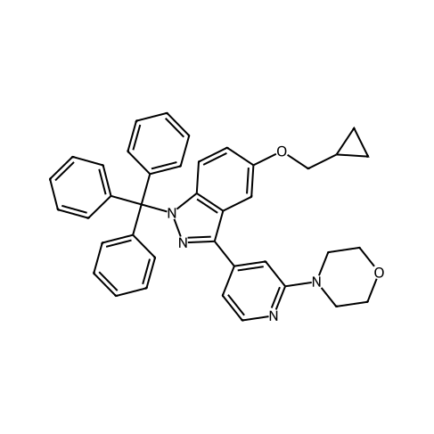 c1ccc(C(c2ccccc2)(c2ccccc2)n2nc(-c3ccnc(N4CCOCC4)c3)c3cc(OCC4CC4)ccc32)cc1